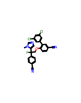 Cn1cncc1C(F)(COc1ccc(C#N)cc1-c1cc(Cl)cc(Cl)c1)c1ccc(C#N)cc1